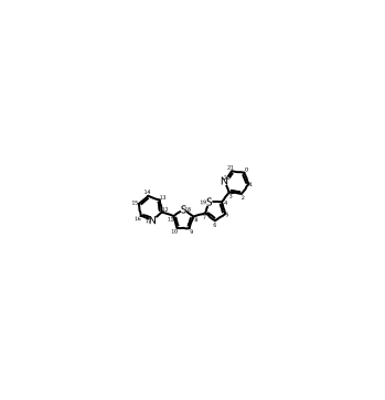 c1ccc(-c2ccc(-c3ccc(-c4ccccn4)s3)s2)nc1